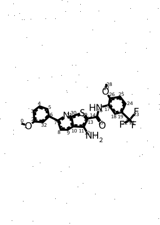 COc1cccc(-c2ccc3c(N)c(C(=O)Nc4cc(C(F)(F)F)ccc4OC)sc3n2)c1